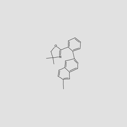 Cc1ccc2cc(-c3ccccc3C3=NC(C)(C)CO3)ccc2c1